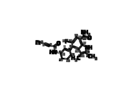 CCC#CC(=O)N[C@@H]1C=C(c2c(F)cc(C(N)=O)c3[nH]c(C)c(C)c23)CCC1